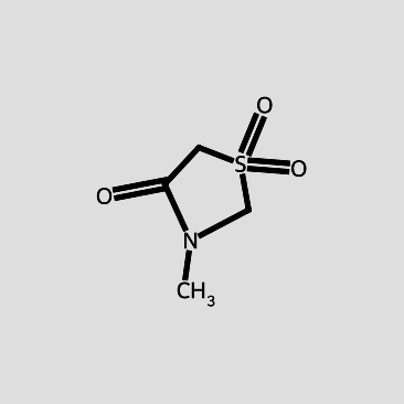 CN1CS(=O)(=O)CC1=O